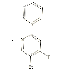 CCc1cnc(-c2ccccc2)cc1F